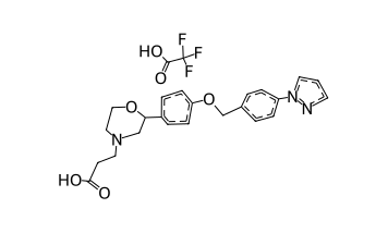 O=C(O)C(F)(F)F.O=C(O)CCN1CCOC(c2ccc(OCc3ccc(-n4cccn4)cc3)cc2)C1